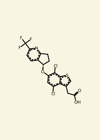 O=C(O)Cc1csc2c(Cl)c(O[C@@H]3CCc4nc(C(F)(F)F)ccc43)cc(Cl)c12